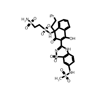 CC(C)CCC1(NS(=O)(=O)CCS(N)(=O)=O)C(=O)C(C2=NS(=O)(=O)c3cc(NS(C)(=O)=O)ccc3N2)=C(O)c2ccccc21